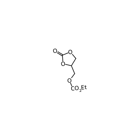 CCOC(=O)OCC1COC(=O)O1